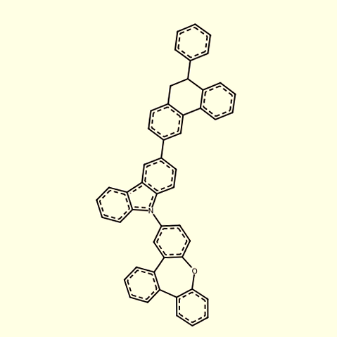 c1ccc(C2Cc3ccc(-c4ccc5c(c4)c4ccccc4n5-c4ccc5c(c4)-c4ccccc4-c4ccccc4O5)cc3-c3ccccc32)cc1